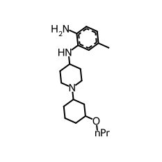 CCCOC1CCCC(N2CCC(Nc3cc(C)ccc3N)CC2)C1